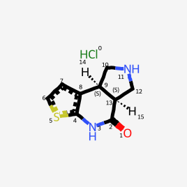 Cl.O=C1Nc2sccc2[C@H]2CNC[C@@H]12